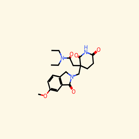 CCN(CC)C(=O)CC1(CN2Cc3ccc(OC)cc3C2=O)CCC(=O)NC1=O